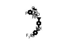 CC(C)c1cc(F)ccc1N1C(=O)CS/C1=N\C(=O)NC1CC1c1ccc(-c2ncn(-c3ccc(OC(F)(F)F)cc3)n2)cc1